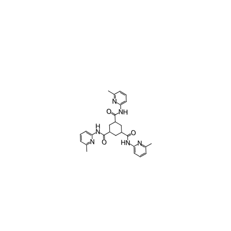 Cc1cccc(NC(=O)C2CC(C(=O)Nc3cccc(C)n3)CC(C(=O)Nc3cccc(C)n3)C2)n1